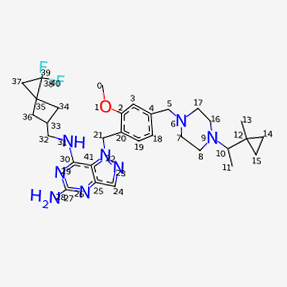 COc1cc(CN2CCN(C(C)C3(C)CC3)CC2)ccc1Cn1ncc2nc(N)nc(NCC3CC4(C3)CC4(F)F)c21